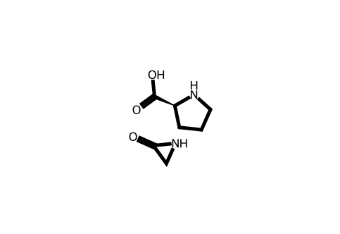 O=C(O)[C@@H]1CCCN1.O=C1CN1